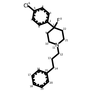 FC1(c2ccc(Cl)cc2)CCN(CCCc2ccccc2)CC1